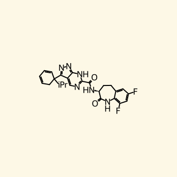 CC(C)C1(c2nnc3[nH]c(C(=O)N[C@H]4CCc5cc(F)cc(F)c5NC4=O)ncc2-3)C=CC=CC1